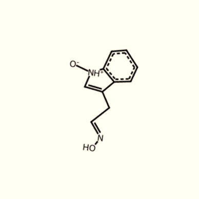 [O-][NH+]1C=C(C/C=N/O)c2ccccc21